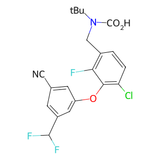 CC(C)(C)N(Cc1ccc(Cl)c(Oc2cc(C#N)cc(C(F)F)c2)c1F)C(=O)O